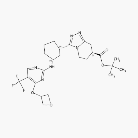 CC(C)(C)OC(=O)[C@H]1CCn2c(nnc2[C@H]2CCC[C@@H](Nc3ncc(C(F)(F)F)c(OC4COC4)n3)C2)C1